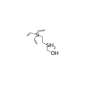 C=C[Si](C=C)(C=C)CC[SiH2]CO